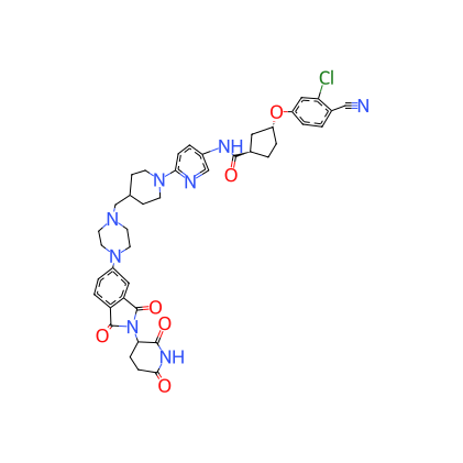 N#Cc1ccc(O[C@@H]2CC[C@@H](C(=O)Nc3ccc(N4CCC(CN5CCN(c6ccc7c(c6)C(=O)N(C6CCC(=O)NC6=O)C7=O)CC5)CC4)nc3)C2)cc1Cl